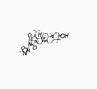 Cc1nnc(NC(=O)[C@@]23CC[C@]4(C)[C@H](CCC5[C@@]6(C)CC[C@H](O)C(C)(C)C6CC[C@]54C)C2=C(C(C)C)C(=O)C3)o1